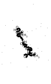 CC(=O)N1CCn2c(C3CCOCC3)nc(-c3cccc4cc(-c5ccc(C(=O)NCCC#Cc6cccc7c6n(C)c(=O)n7C6CCC(=O)NC6=O)nc5)ncc34)c2C1